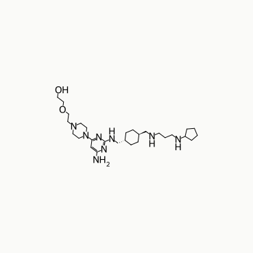 Nc1cc(N2CCN(CCOCCO)CC2)nc(NC[C@H]2CC[C@H](CNCCCNC3CCCC3)CC2)n1